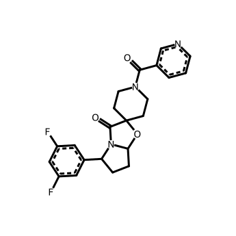 O=C(c1cccnc1)N1CCC2(CC1)OC1CCC(c3cc(F)cc(F)c3)N1C2=O